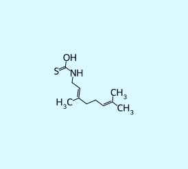 CC(C)=CCCC(C)=CCNC(O)=S